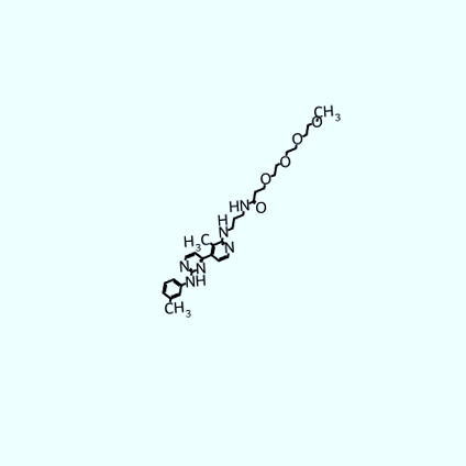 COCCOCCOCCOCCC(=O)NCCCNc1nccc(-c2ccnc(Nc3cccc(C)c3)n2)c1C